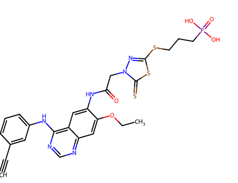 C#Cc1cccc(Nc2ncnc3cc(OCC)c(NC(=O)Cn4nc(SCCCP(=O)(O)O)sc4=S)cc23)c1